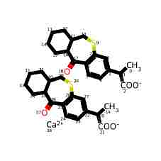 CC(C(=O)[O-])c1ccc2c(c1)SCC1CCCCC1C2=O.CC(C(=O)[O-])c1ccc2c(c1)SCC1CCCCC1C2=O.[Ca+2]